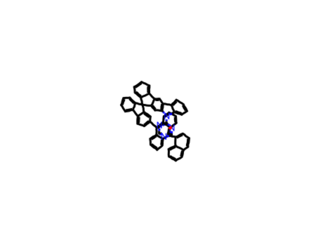 c1ccc2c(c1)-c1ccc(-c3c4ccccc4c(-c4cccc5ccccc45)c4ccccc34)cc1C21c2ccccc2-c2cc3c4ccccc4n(-c4ncncn4)c3cc21